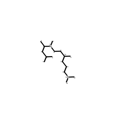 CC(C)CC(C)N(C)CCC(C)CCCN(C)C